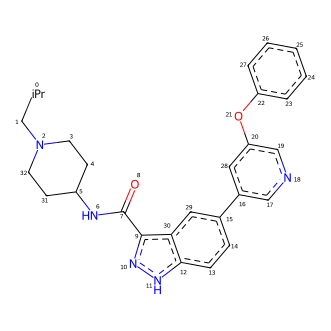 CC(C)CN1CCC(NC(=O)c2n[nH]c3ccc(-c4cncc(Oc5ccccc5)c4)cc23)CC1